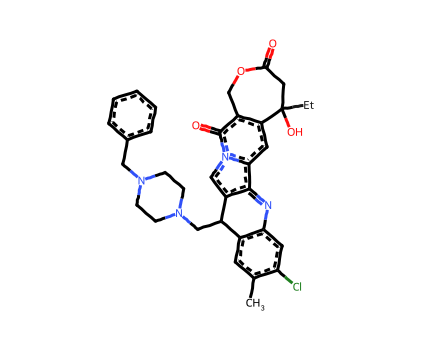 CCC1(O)CC(=O)OCc2c1cc1c3c(cn1c2=O)C(CN1CCN(Cc2ccccc2)CC1)c1cc(C)c(Cl)cc1N=3